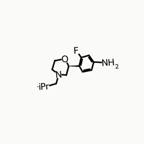 C[C](C)CN1CCO[C@@H](c2ccc(N)cc2F)C1